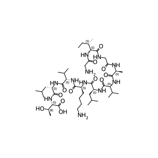 CC[C@H](C)[C@H](NC(=O)CN)C(=O)NCC(=O)N[C@@H](C)C(=O)N[C@H](C(=O)N[C@@H](CC(C)C)C(=O)N[C@@H](CCCCN)C(=O)N[C@H](C(=O)N[C@@H](CC(C)C)C(=O)N[C@H](C(=O)O)[C@@H](C)O)C(C)C)C(C)C